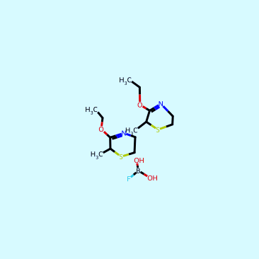 CCOC1=NCCSC1C.CCOC1=NCCSC1C.OB(O)F